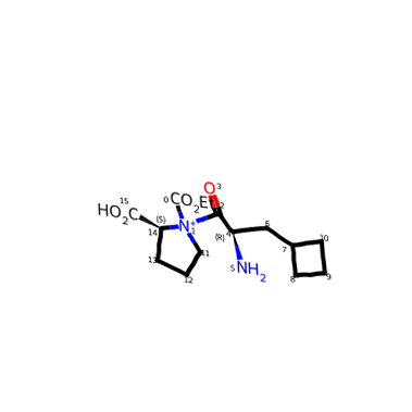 CCOC(=O)[N+]1(C(=O)[C@H](N)CC2CCC2)CCC[C@H]1C(=O)O